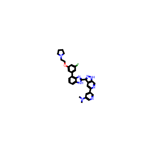 CN(C)c1cncc(-c2cc3c(-c4nc5c(-c6cc(F)cc(OCCN7CCCC7)c6)cccc5[nH]4)n[nH]c3cn2)c1